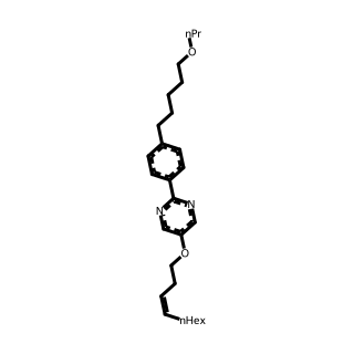 CCCCCC/C=C\CCOc1cnc(-c2ccc(CCCCCOCCC)cc2)nc1